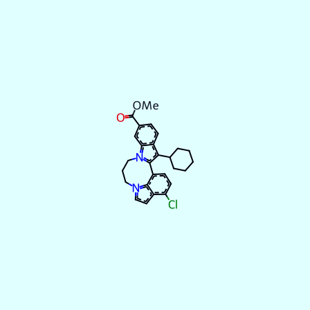 COC(=O)c1ccc2c(C3CCCCC3)c3n(c2c1)CCCn1ccc2c(Cl)ccc-3c21